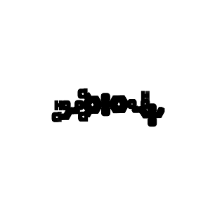 CCS(=O)(=O)C[C@H](O)COc1ccc(S(=O)(=O)c2cc(Cl)c(OC[C@H](O)CCl)c(Cl)c2)cc1